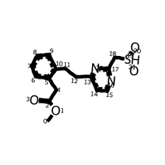 COC(=O)Cc1ccccc1CCc1ccnc(C[SH](=O)=O)n1